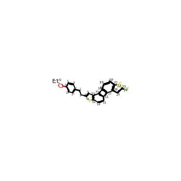 CCOc1ccc(CCc2cc3c4c(ccc3s2)-c2c-4ccc3sc(F)cc23)cc1